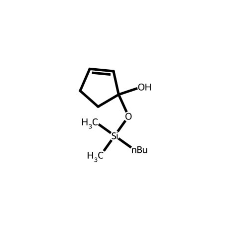 CCCC[Si](C)(C)OC1(O)C=CCC1